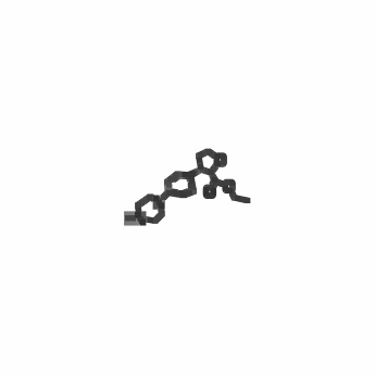 CCOC(=O)[C@@H]1OCC[C@@H]1c1ccc(N2CCNCC2)cc1